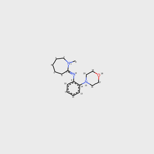 CN1CCCCCC1=Nc1ccccc1N1CCOCC1